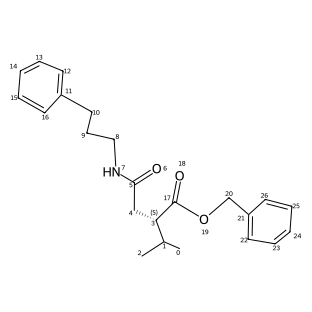 CC(C)[C@H](CC(=O)NCCCc1ccccc1)C(=O)OCc1ccccc1